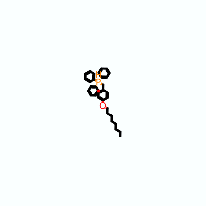 CCCCCCCCOc1ccc(C[PH](c2ccccc2)(c2ccccc2)c2ccccc2)cc1